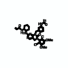 C=CC(=O)NC1CCCCC1Nc1ncc2c(n1)N(Cc1cccc(NC(=O)CC)c1)C(=O)N(c1c(Cl)c(OC)cc(OC)c1Cl)C2